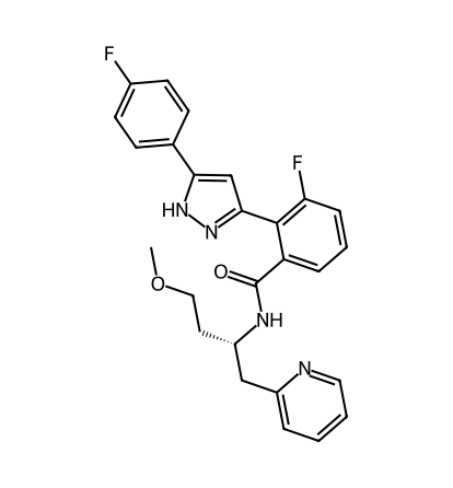 COCC[C@@H](Cc1ccccn1)NC(=O)c1cccc(F)c1-c1cc(-c2ccc(F)cc2)[nH]n1